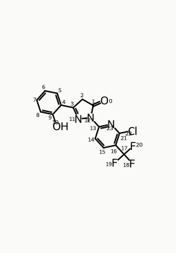 O=C1CC(c2ccccc2O)=NN1c1ccc(C(F)(F)F)c(Cl)n1